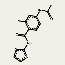 CC(=O)Nc1ccc(C(=O)Nc2nccs2)c(C)c1